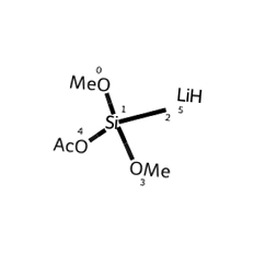 CO[Si](C)(OC)OC(C)=O.[LiH]